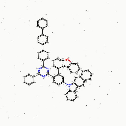 c1ccc(-c2ccc(-c3ccc(-c4nc(-c5ccccc5)nc(-c5ccc(-n6c7ccccc7c7cc8ccccc8cc76)cc5-c5cccc6oc7ccccc7c56)n4)cc3)cc2)cc1